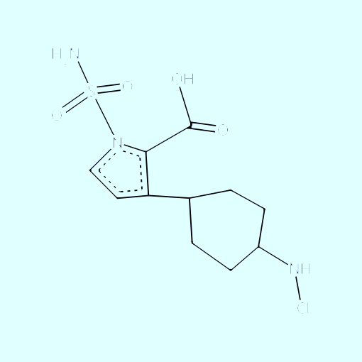 NS(=O)(=O)n1ccc(C2CCC(NCl)CC2)c1C(=O)O